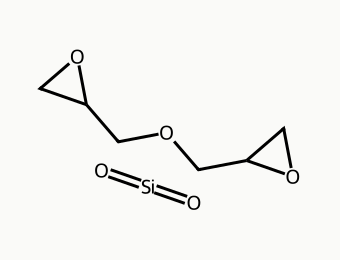 C(OCC1CO1)C1CO1.O=[Si]=O